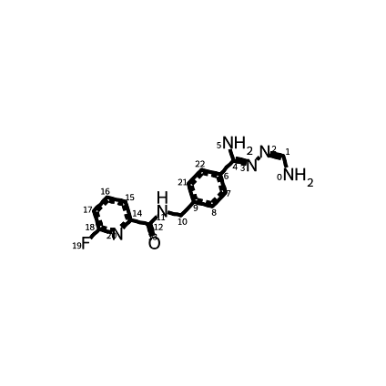 N/C=N\N=C(/N)c1ccc(CNC(=O)c2cccc(F)n2)cc1